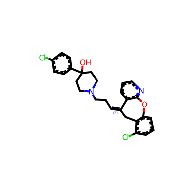 OC1(c2ccc(Cl)cc2)CCN(CC/C=C2/Cc3c(Cl)cccc3Oc3ncccc32)CC1